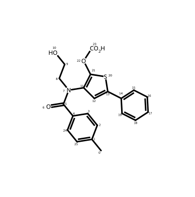 Cc1ccc(C(=O)N(CCO)c2cc(-c3ccccc3)sc2OC(=O)O)cc1